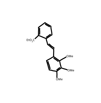 CCOC(=O)c1ccccc1C=Cc1ccc(OC)c(OC)c1OC